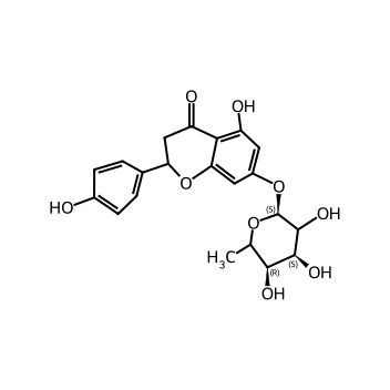 CC1O[C@@H](Oc2cc(O)c3c(c2)OC(c2ccc(O)cc2)CC3=O)C(O)[C@@H](O)[C@H]1O